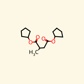 CC(CC(=O)OC1CCCC1)C(=O)OC1CCCC1